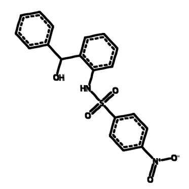 O=[N+]([O-])c1ccc(S(=O)(=O)Nc2ccccc2C(O)c2ccccc2)cc1